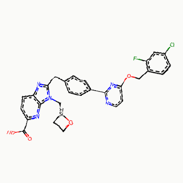 O=C(O)c1ccc2nc(Cc3ccc(-c4nccc(OCc5ccc(Cl)cc5F)n4)cc3)n(C[Si@@H]3CCO3)c2n1